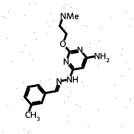 CNCCOc1nc(N)cc(NN=Cc2cccc(C)c2)n1